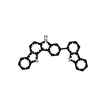 c1ccc2c(c1)sc1c(-c3ccc4c(c3)[nH]c3ccc5c6ccccc6sc5c34)cccc12